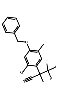 Cc1cc(C(C)(C#N)C(F)(F)F)c(Cl)cc1OCc1ccccc1